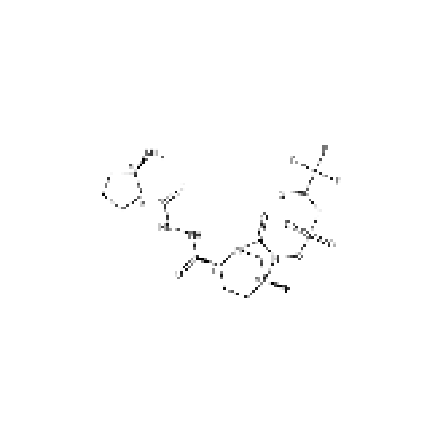 N[C@@H]1CCC[C@H]1C(=O)NNC(=O)[C@@H]1CC[C@@H]2CN1C(=O)N2OS(=O)(=O)OC(=O)C(F)(F)F